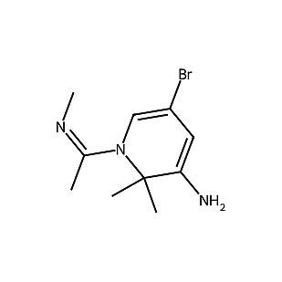 C/N=C(/C)N1C=C(Br)C=C(N)C1(C)C